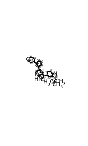 CC(C)(C)n1cnc2ccc(-c3c[nH]c4ncc(-c5cccc(N6CCOCC6)c5)nc34)cc21